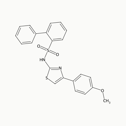 COc1ccc(-c2csc(NS(=O)(=O)c3ccccc3-c3ccccc3)n2)cc1